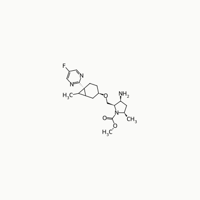 COC(=O)N1[C@H](C)C[C@H](N)[C@@H]1CO[C@@H]1CC[C@]2(c3ncc(F)cn3)C(C)C2C1